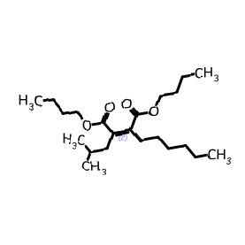 CCCCCC/C(C(=O)OCCCC)=C(\CC(C)C)C(=O)OCCCC